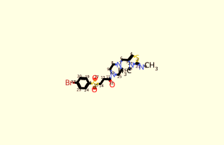 C/N=c1\scc(CN2CCN(C(=O)CCS(=O)(=O)c3ccc(Br)cc3)CC2)n1C